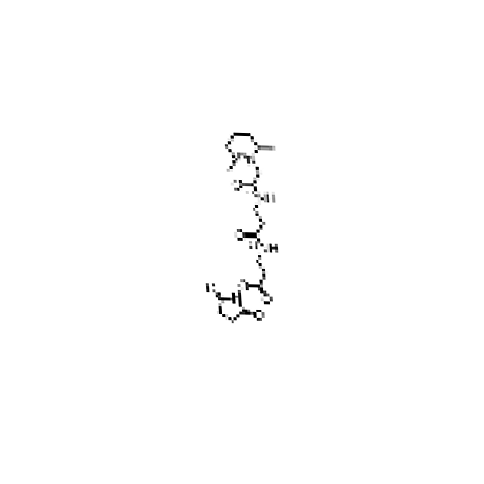 CC1CCCC(C)[15N]1CC(=O)[15NH]CCC(=O)[15NH]CCC(=O)ON1C(=O)CCC1=O